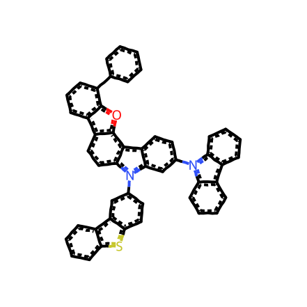 c1ccc(-c2cccc3c2oc2c3ccc3c2c2ccc(-n4c5ccccc5c5ccccc54)cc2n3-c2ccc3sc4ccccc4c3c2)cc1